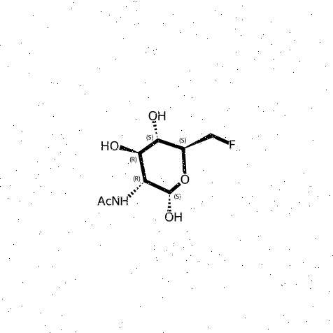 CC(=O)N[C@@H]1[C@@H](O)[C@H](O)[C@@H](CF)O[C@@H]1O